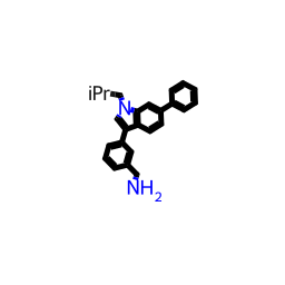 CC(C)Cn1cc(-c2cccc(CN)c2)c2ccc(-c3ccccc3)cc21